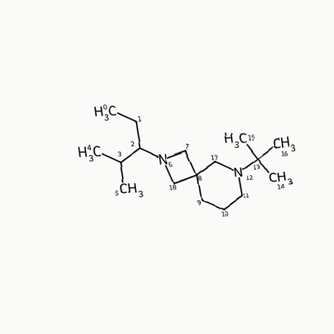 CCC(C(C)C)N1CC2(CCCN(C(C)(C)C)C2)C1